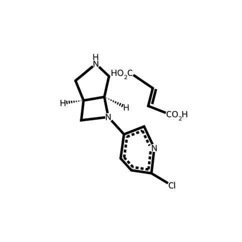 Clc1ccc(N2C[C@H]3CNC[C@H]32)cn1.O=C(O)C=CC(=O)O